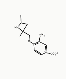 CC1CC(C)(COc2ccc(C(=O)O)cc2N)N1